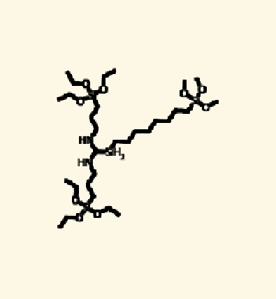 CCO[Si](CCCNC(NCCC[Si](OCC)(OCC)OCC)[SiH2]CCCCCCCC[Si](OC)(OC)OC)(OCC)OCC